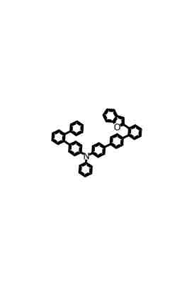 c1ccc(-c2ccccc2-c2ccc(N(c3ccccc3)c3ccc(-c4ccc(-c5ccccc5-c5cc6ccccc6o5)cc4)cc3)cc2)cc1